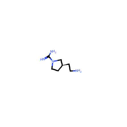 N=C(N)N1CC[C@H](CCN)C1